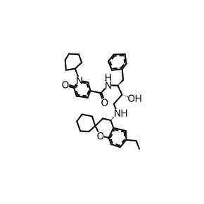 CCc1ccc2c(c1)[C@@H](NC[C@@H](O)[C@H](Cc1ccccc1)NC(=O)c1ccc(=O)n(C3CCCCC3)c1)CC1(CCCCC1)O2